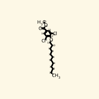 CCCCCCCCCCCCOc1c(Cl)cc(C(=O)OC)cc1Cl